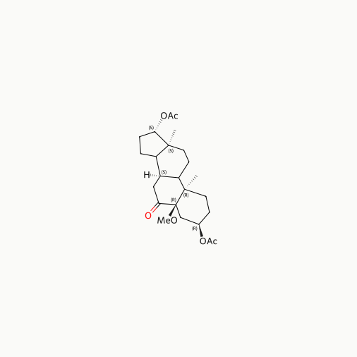 CO[C@]12C[C@H](OC(C)=O)CC[C@]1(C)C1CC[C@@]3(C)C(CC[C@@H]3OC(C)=O)[C@@H]1CC2=O